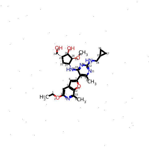 CCOc1cc2cc(-c3c(C)nc(NCC4CC4)nc3N[C@@H]3C[C@H](CO)[C@@H](O)[C@H]3OC)oc2c(C)n1